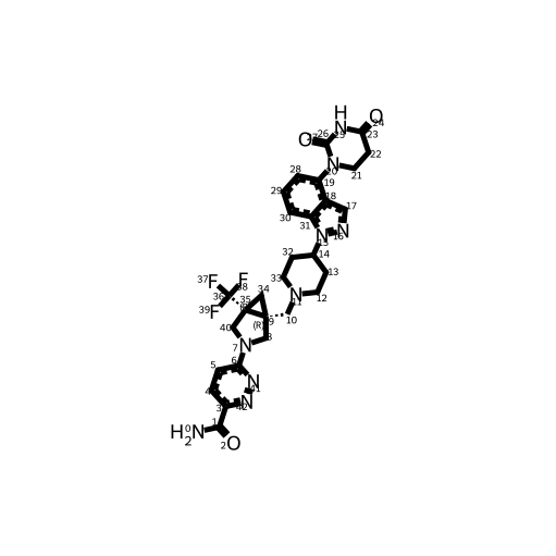 NC(=O)c1ccc(N2C[C@]3(CN4CCC(n5ncc6c(N7CCC(=O)NC7=O)cccc65)CC4)C[C@]3(C(F)(F)F)C2)nn1